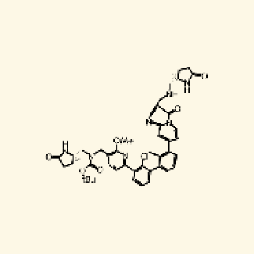 COc1nc(-c2cccc(-c3cccc(-c4ccn5c(=O)c(CNC[C@@H]6CCC(=O)N6)cnc5c4)c3C)c2Cl)cnc1CN(C[C@@H]1CCC(=O)N1)C(=O)OC(C)(C)C